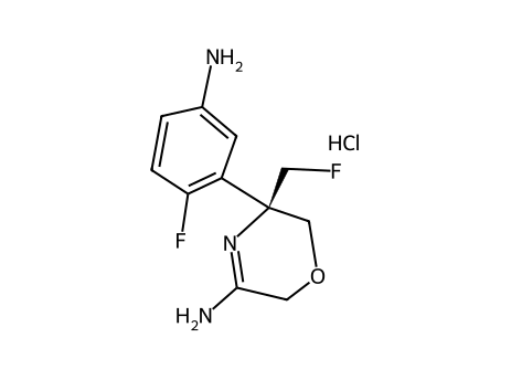 Cl.NC1=N[C@](CF)(c2cc(N)ccc2F)COC1